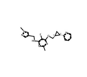 Cc1nc(NCc2cnn(C)c2)c(F)c(OC[C@H]2C[C@@H]2c2ccccn2)n1